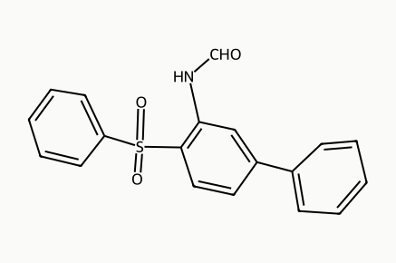 O=CNc1cc(-c2ccccc2)ccc1S(=O)(=O)c1ccccc1